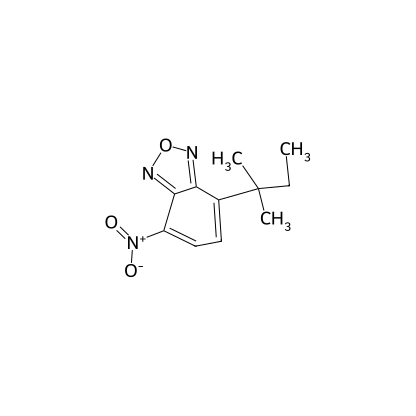 CCC(C)(C)c1ccc([N+](=O)[O-])c2nonc12